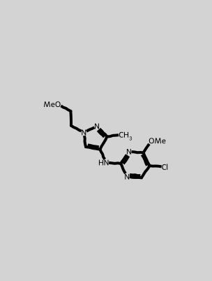 COCCn1cc(Nc2ncc(Cl)c(OC)n2)c(C)n1